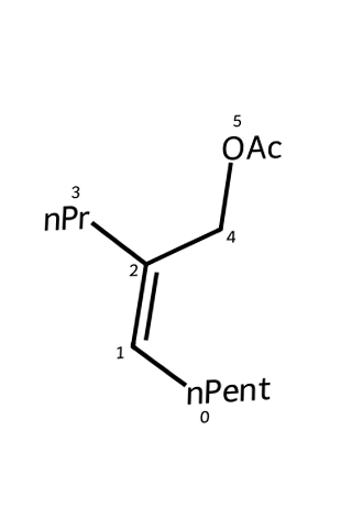 CCCCCC=C(CCC)COC(C)=O